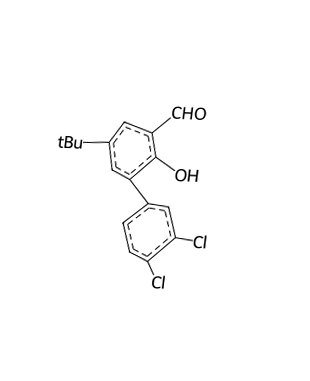 CC(C)(C)c1cc(C=O)c(O)c(-c2ccc(Cl)c(Cl)c2)c1